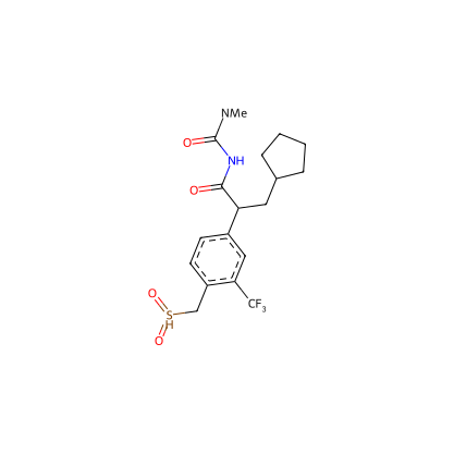 CNC(=O)NC(=O)C(CC1CCCC1)c1ccc(C[SH](=O)=O)c(C(F)(F)F)c1